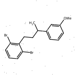 COc1cccc(C(C)CCc2c(Br)cccc2Br)c1